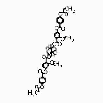 C=CC(=O)Oc1ccc(C(=O)Oc2ccc(C(=O)O[C@H]3CO[C@H]4[C@@H]3OC[C@H]4OC(=O)c3ccc(OC(=O)c4ccc(OC(=O)C=C)cc4)cc3OC)c(OC)c2)cc1